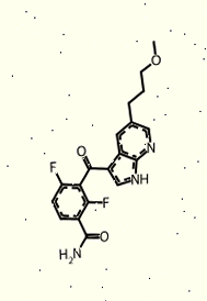 COCCCc1cnc2[nH]cc(C(=O)c3c(F)ccc(C(N)=O)c3F)c2c1